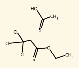 CC(O)=S.CCOC(=S)CC(Cl)(Cl)Cl